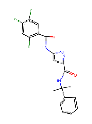 CC(C)(NC(=O)c1cc(NC(=O)c2cc(F)c(F)cc2Cl)[nH]n1)c1ccccc1